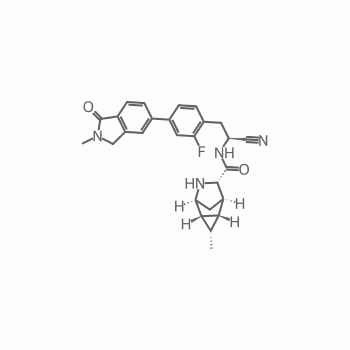 C[C@H]1[C@H]2[C@H]3C[C@H](N[C@@H]3C(=O)N[C@H](C#N)Cc3ccc(-c4ccc5c(c4)CN(C)C5=O)cc3F)[C@@H]12